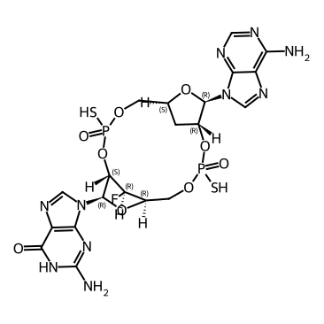 Nc1nc2c(ncn2[C@@H]2O[C@@H]3COP(=O)(S)O[C@@H]4C[C@@H](COP(=O)(S)O[C@@H]2[C@@H]3F)O[C@H]4n2cnc3c(N)ncnc32)c(=O)[nH]1